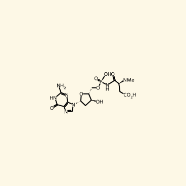 CN[C@@H](CC(=O)O)C(=O)NP(=O)(O)OC[C@H]1O[C@@H](n2cnc3c(=O)[nH]c(N)nc32)C[C@@H]1O